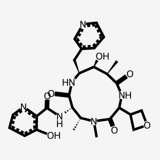 C[C@@H]1[C@H](NC(=O)c2ncccc2O)C(=O)N[C@@H](Cc2cccnc2)[C@@H](O)[C@@H](C)C(=O)NC(C2COC2)C(=O)N1C